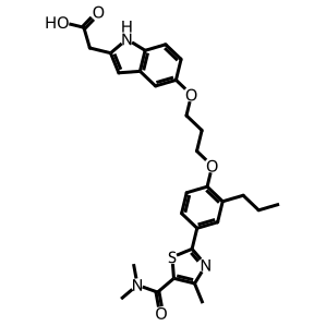 CCCc1cc(-c2nc(C)c(C(=O)N(C)C)s2)ccc1OCCCOc1ccc2[nH]c(CC(=O)O)cc2c1